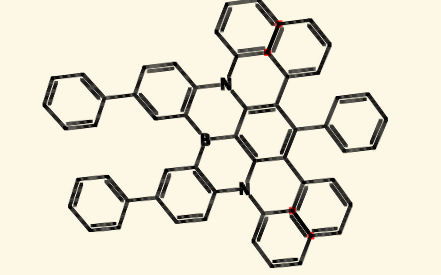 c1ccc(-c2ccc3c(c2)B2c4cc(-c5ccccc5)ccc4N(c4ccccc4)c4c2c(c(-c2ccccc2)c(-c2ccccc2)c4-c2ccccc2)N3c2ccccc2)cc1